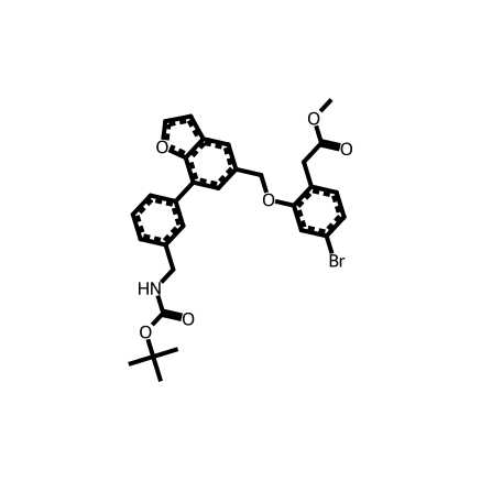 COC(=O)Cc1ccc(Br)cc1OCc1cc(-c2cccc(CNC(=O)OC(C)(C)C)c2)c2occc2c1